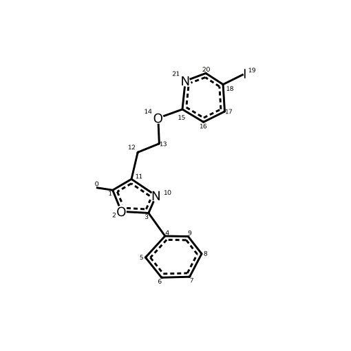 Cc1oc(-c2ccccc2)nc1CCOc1ccc(I)cn1